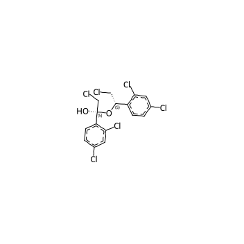 O[C@](CCl)(O[C@H](CCl)c1ccc(Cl)cc1Cl)c1ccc(Cl)cc1Cl